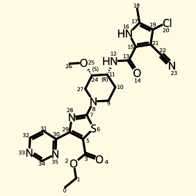 CCOC(=O)c1sc(N2CC[C@@H](NC(=O)c3[nH]c(C)c(Cl)c3C#N)[C@@H](OC)C2)nc1-c1ccncn1